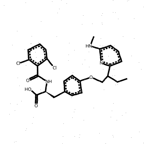 CCC(COc1ccc(C[C@H](NC(=O)c2c(Cl)cccc2Cl)C(=O)O)cc1)c1cccc(NC)n1